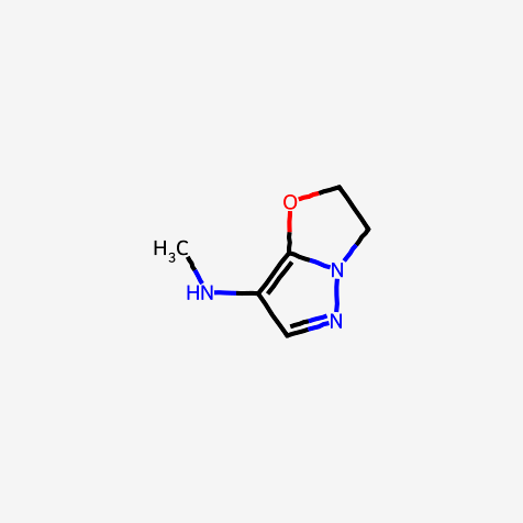 CNc1cnn2c1OCC2